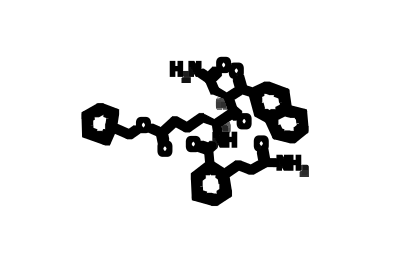 NC(=O)CCc1ccccc1C(=O)N[C@@H](CCCC(=O)OCc1ccccc1)C(=O)[C@@H](CC(N)=O)C(=O)c1ccc2ccccc2c1